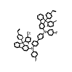 C=CC1=CCC(C2(c3cc(CC)ccc3C)c3ccccc3-c3ccc(N(c4ccc(F)cc4)c4ccc(-c5ccc(N(c6ccc(F)cc6)c6ccc7c(c6)C(c6ccc(C=C)cc6)(c6cc(C)ccc6C)c6ccccc6-7)cc5)cc4)cc32)C=C1